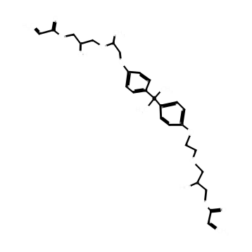 C=CC(=O)OCC(O)COCCOc1ccc(C(C)(C)c2ccc(OCC(C)OCC(O)COC(=O)C=C)cc2)cc1